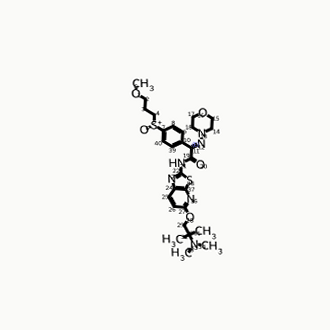 COCCC[S+]([O-])c1ccc(/C(=N\N2CCOCC2)C(=O)Nc2nc3ccc(OCC(C)(C)N(C)C)nc3s2)cc1